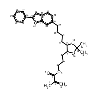 C=C(C)C(=O)OCCCC1OC(C)(C)OC1CCCCc1ccc2cc(-c3ccccc3)oc2c1